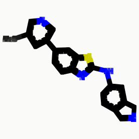 COc1cncc(-c2ccc3nc(Nc4ccc5c(c4)CN=C5)sc3c2)c1